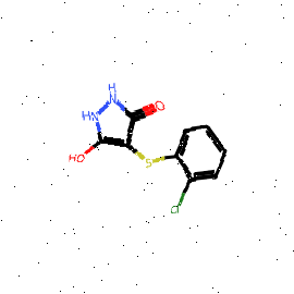 O=c1[nH][nH]c(O)c1Sc1ccccc1Cl